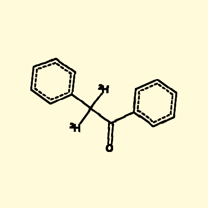 [2H]C([2H])(C(=O)c1ccccc1)c1ccccc1